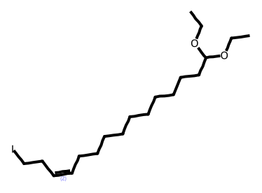 CCOC(CCCCCCCCCC/C=C\CCI)OCC